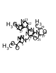 COC(=O)c1cn(Cc2nc(-c3ccnc4c3ccn4C)nc3c2OCC2COC[C@@H](C)N32)nn1